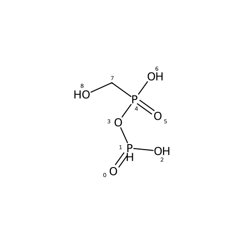 O=[PH](O)OP(=O)(O)CO